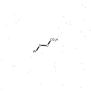 CC(C)SOC(=O)O